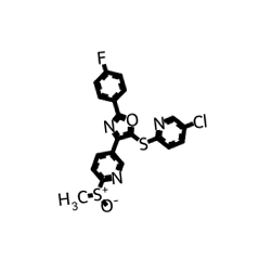 C[S+]([O-])c1ccc(-c2nc(-c3ccc(F)cc3)oc2Sc2ccc(Cl)cn2)cn1